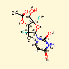 CCC(=O)O[C@H]1[C@@](C)(F)[C@H](n2ccc(=O)[nH]c2=O)O[C@]1(F)CO